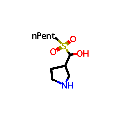 CCCCCS(=O)(=O)C(O)C1CCNC1